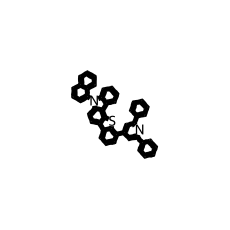 c1ccc(-c2cc(-c3cccc4c3sc3c4ccc4c3c3ccccc3n4-c3cccc4ccccc34)cc(-c3ccccc3)n2)cc1